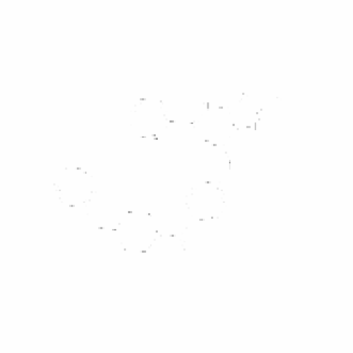 Cc1cc2nc(-c3ccccc3)cc(Nc3ccc(C(=O)N4CCC(Cc5ccccc5)CC4)cc3)n2n1